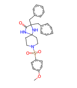 COc1ccc(S(=O)(=O)N2CCC3(CC2)NC(=O)C(Cc2ccccc2)(Cc2ccccc2)N3)cc1